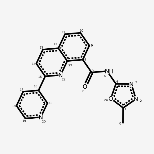 Cc1nnc(NC(=O)c2cccc3ccc(-c4cccnc4)nc23)o1